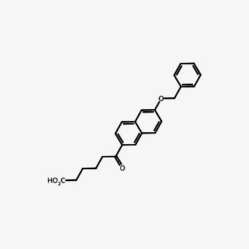 O=C(O)CCCCC(=O)c1ccc2cc(OCc3ccccc3)ccc2c1